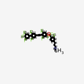 C/C=C/CCc1ccc(C(F)(F)Oc2cc(F)c(C#Cc3cc(F)c(C4=CC(F)C(F)C(F)=C4)c(F)c3)c(F)c2)c(F)c1